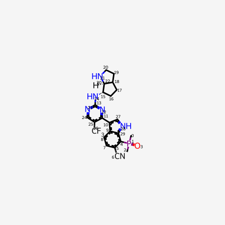 CP(C)(=O)c1c(C#N)ccc2c(-c3nc(N[C@H]4CCC5CCN[C@@H]54)ncc3C(F)(F)F)c[nH]c12